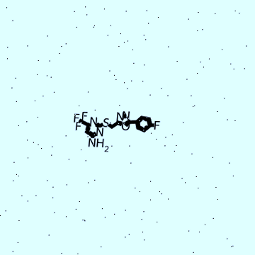 Nc1cc(C(F)(F)F)nc(SCc2nnc(-c3ccc(F)cc3)o2)n1